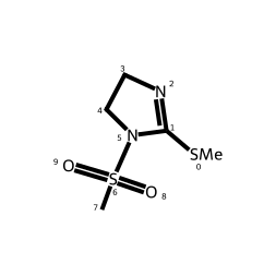 CSC1=NCCN1S(C)(=O)=O